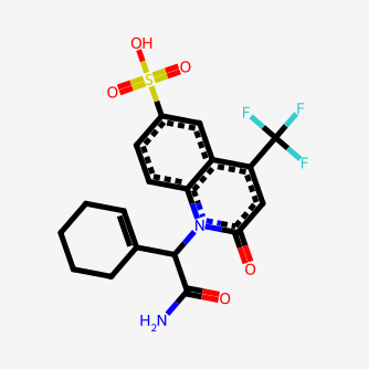 NC(=O)C(C1=CCCCC1)n1c(=O)cc(C(F)(F)F)c2cc(S(=O)(=O)O)ccc21